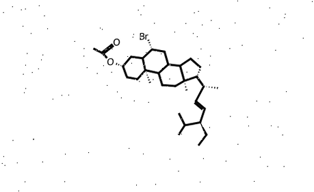 CC[C@H](/C=C/[C@@H](C)[C@H]1CCC2C3C[C@@H](Br)C4C[C@@H](OC(C)=O)CC[C@]4(C)C3CC[C@@]21C)C(C)C